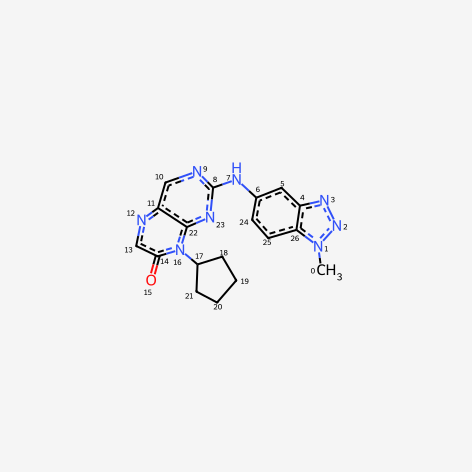 Cn1nnc2cc(Nc3ncc4ncc(=O)n(C5CCCC5)c4n3)ccc21